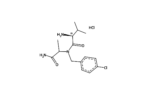 CC(C)[C@H](N)C(=O)N(Cc1ccc(Cl)cc1)C(C)C(N)=O.Cl